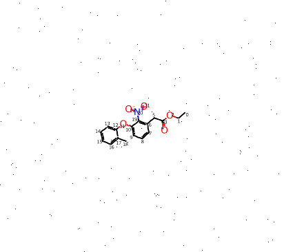 CCOC(=O)Cc1cccc(Oc2ccccc2C)c1[N+](=O)[O-]